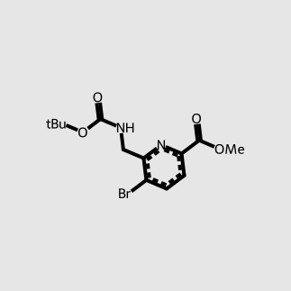 COC(=O)c1ccc(Br)c(CNC(=O)OC(C)(C)C)n1